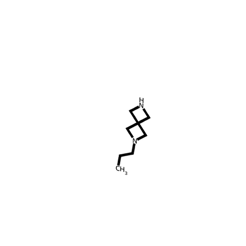 CCCN1CC2(CNC2)C1